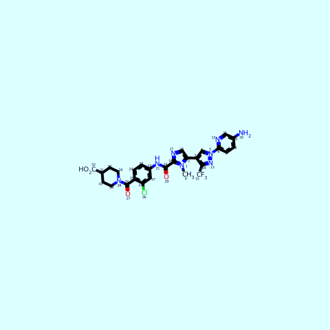 Cn1c(-c2cn(-c3ccc(N)cn3)nc2C(F)(F)F)cnc1C(=O)Nc1ccc(C(=O)N2CCC(C(=O)O)CC2)c(Cl)c1